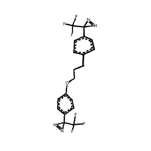 FC(F)(F)C1(c2ccc(CCCOc3ccc(C4(C(F)(F)F)N=N4)cc3)cc2)N=N1